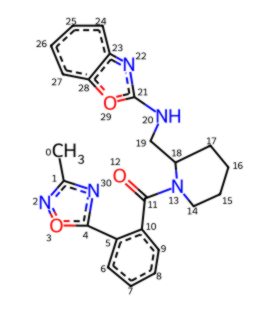 Cc1noc(-c2ccccc2C(=O)N2CCCCC2CNc2nc3ccccc3o2)n1